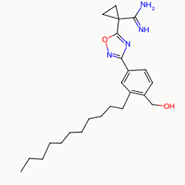 CCCCCCCCCCCc1cc(-c2noc(C3(C(=N)N)CC3)n2)ccc1CO